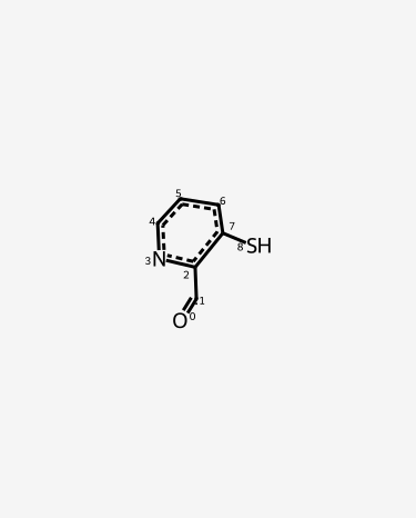 O=[C]c1ncccc1S